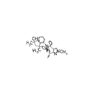 Cn1cc(C(=O)Nc2cccc3c2C(C)(C)CC3(C)C)c(C(F)F)n1